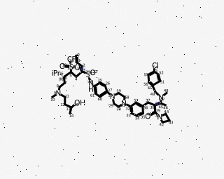 C=C/C=C(\CC([C@H](CCN(C)CCC(C)O)C(C)C)S(=O)(=O)C(F)(F)F)[S+]([O-])Nc1ccc(N2CCN(c3cccc(C/C(C(=O)N4CCC4)=C(/C)N(C)Cc4ccc(Cl)cc4)c3)CC2)cc1